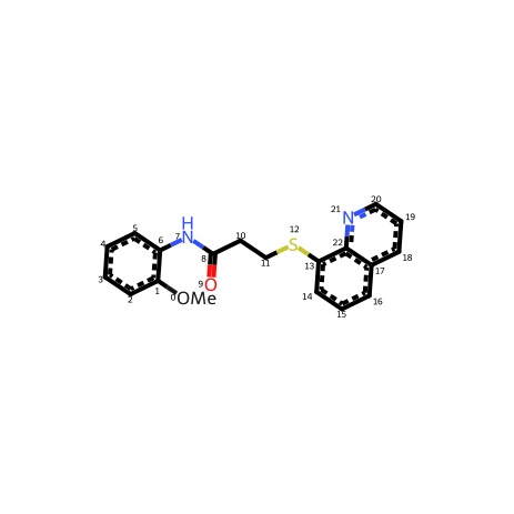 COc1ccccc1NC(=O)CCSc1cccc2cccnc12